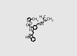 CCN(CC)CCNCc1ccc(/C=C/c2n[nH]c3ccccc23)c(NC(=O)Oc2sccc2C)c1